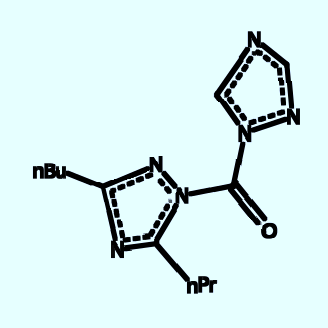 CCCCc1nc(CCC)n(C(=O)n2cncn2)n1